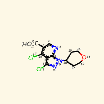 O=C(O)c1cnc2c(c(Cl)nn2C2CCOCC2)c1Cl